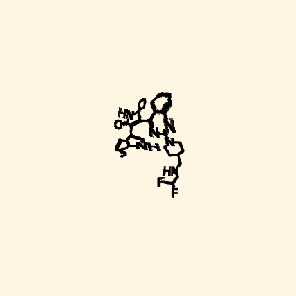 O=C1NC(=O)C(c2c[nH]c3sccc23)=C1c1nc(N2CCC(CNCC(F)F)CC2)nc2ccccc12